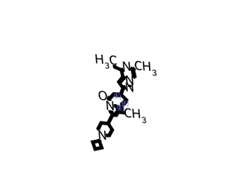 CCc1nc(C)cn2nc(C3=C\C(=O)N4C=C(C5CCN(C6CCC6)CC5)C=C(C)\C4=C/C=C/3)cc12